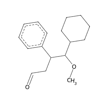 COC(C1CCCCC1)C(CC=O)c1ccccc1